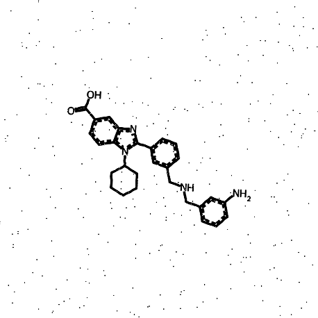 Nc1cccc(CNCc2cccc(-c3nc4cc(C(=O)O)ccc4n3C3CCCCC3)c2)c1